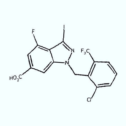 O=C(O)c1cc(F)c2c(I)nn(Cc3c(Cl)cccc3C(F)(F)F)c2c1